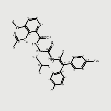 COc1ccnc(C(=O)N[C@@H](CC(C)C)C(=O)NC(C)=C(c2ccc(F)cc2)c2ccc(F)cc2)c1OC(C)=O